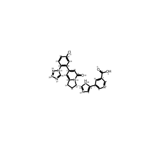 O=C(O)c1cncc(-c2cnc([C@@H]3CCc4cc(-c5cc(Cl)ccc5-n5cnnn5)cc(=O)n43)[nH]2)c1